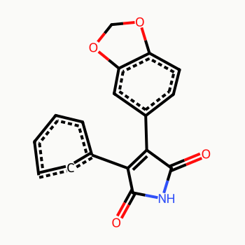 O=C1NC(=O)C(c2ccc3c(c2)OCO3)=C1c1ccccc1